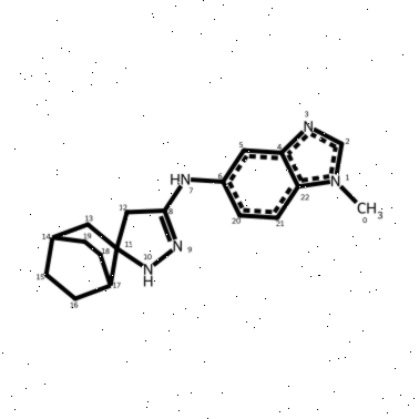 Cn1cnc2cc(NC3=NNC4(C3)CC3CCC4CC3)ccc21